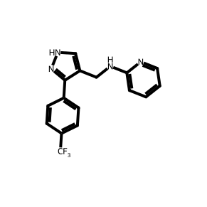 FC(F)(F)c1ccc(-c2n[nH]cc2CNc2ccccn2)cc1